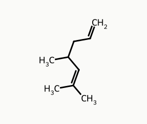 C=CCC(C)C=C(C)C